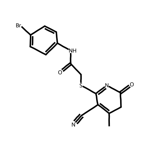 CC1=C(C#N)C(SCC(=O)Nc2ccc(Br)cc2)=NC(=O)C1